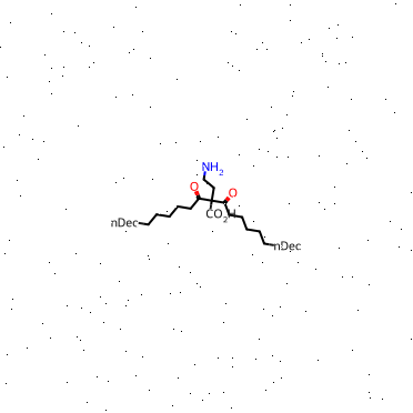 CCCCCCCCCCCCCCCC(=O)C(CCN)(C(=O)O)C(=O)CCCCCCCCCCCCCCC